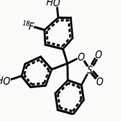 O=S1(=O)OC(c2ccc(O)cc2)(c2ccc(O)c([18F])c2)c2ccccc21